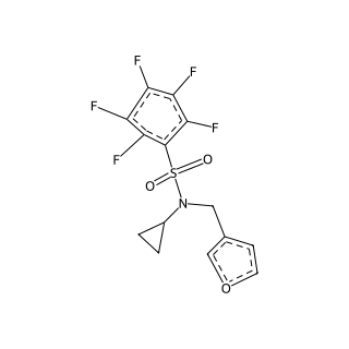 O=S(=O)(c1c(F)c(F)c(F)c(F)c1F)N(Cc1ccoc1)C1CC1